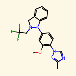 COc1cc(N2c3ccccc3CN2CC(F)(F)F)ccc1-n1cnc(C)n1